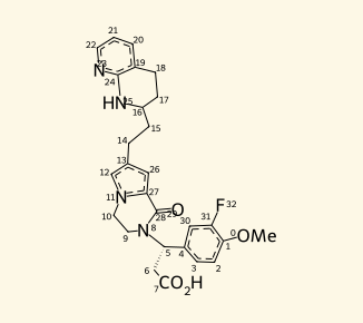 COc1ccc([C@H](CC(=O)O)N2CCn3cc(CCC4CCc5cccnc5N4)cc3C2=O)cc1F